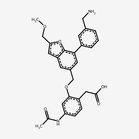 COCc1cc2cc(COc3cc(NC(C)=O)ccc3CC(=O)O)cc(-c3cccc(CN)c3)c2o1